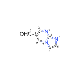 O=[C]c1cnc2nccn2c1